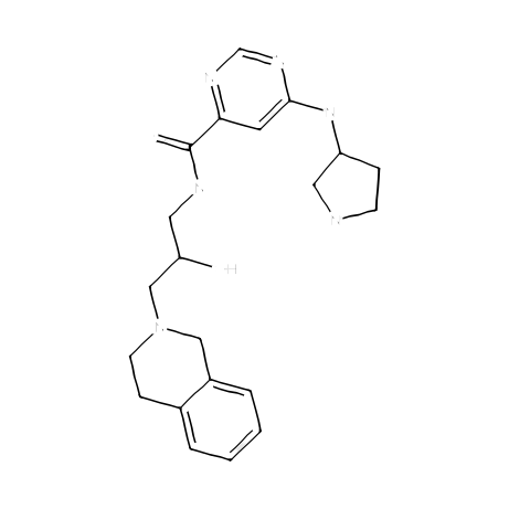 O=C(NCC(O)CN1CCc2ccccc2C1)c1cc(NC2CCNC2)ncn1